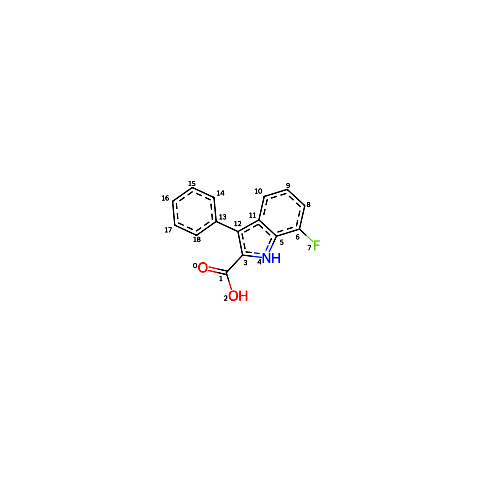 O=C(O)c1[nH]c2c(F)cccc2c1-c1ccccc1